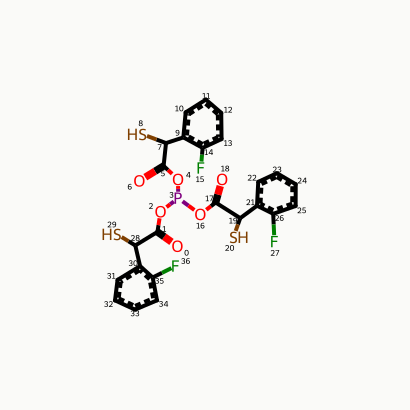 O=C(OP(OC(=O)C(S)c1ccccc1F)OC(=O)C(S)c1ccccc1F)C(S)c1ccccc1F